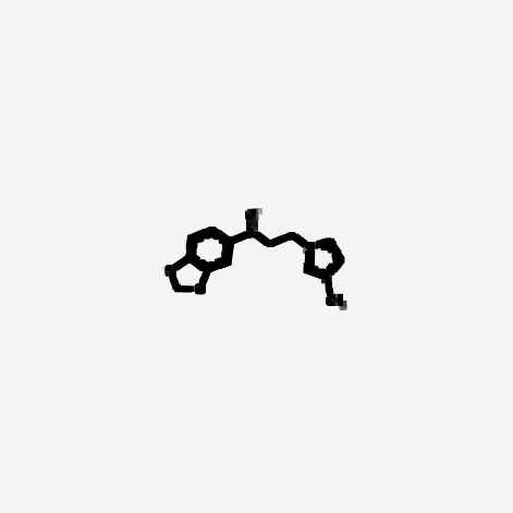 Cn1cc[n+](CCNc2ccc3c(c2)OCO3)c1.[Cl-]